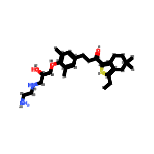 CCc1sc(C(=O)CCc2cc(C)c(OCC(O)CNCCN)c(C)c2)c2c1CC(C)(C)CC2